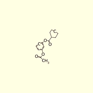 CC(=O)Oc1cccc(OC(=O)C2CCCCC2)c1